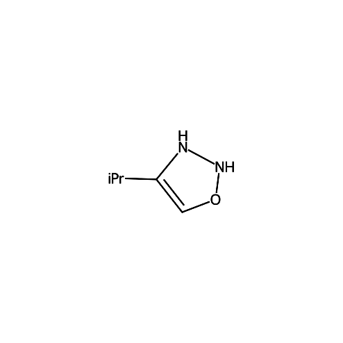 CC(C)C1=CONN1